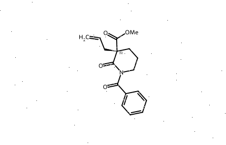 C=CC[C@@]1(C(=O)OC)CCCN(C(=O)c2ccccc2)C1=O